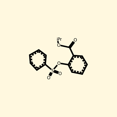 CC(C)OC(=O)c1ccccc1OS(=O)(=O)c1ccccc1